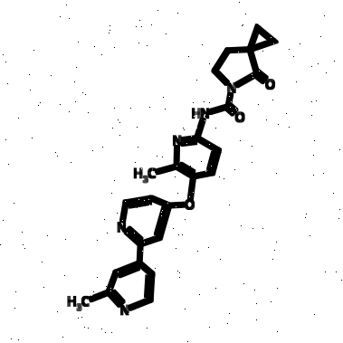 Cc1cc(-c2cc(Oc3ccc(NC(=O)N4CCC5(CC5)C4=O)nc3C)ccn2)ccn1